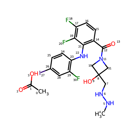 CC(=O)O.CNNCC1(O)CN(C(=O)c2ccc(F)c(F)c2Nc2ccc(I)cc2F)C1